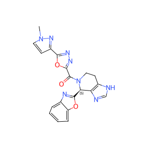 Cn1ccc(-c2nnc(C(=O)N3CCc4[nH]cnc4[C@H]3c3nc4ccccc4o3)o2)n1